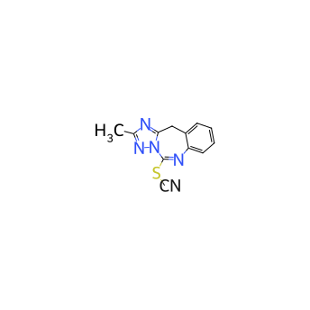 Cc1nc2n(n1)C(SC#N)=Nc1ccccc1C2